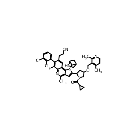 Cc1ccnc(C)c1COC1CC(c2cc3c(C)nc4c(F)c(-c5cccc(Cl)c5Cl)c(CCC#N)cc4c3n2C2C3CNC2C3)N(C(=O)C2CC2)C1